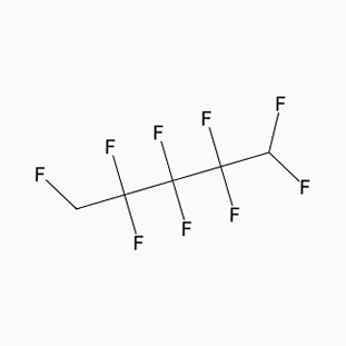 FCC(F)(F)C(F)(F)C(F)(F)C(F)F